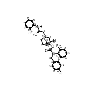 O=C(C[N+]12CCC(CC1)[C@@H](OC(=O)N(Cc1ccc(F)cc1)c1ccccc1F)C2)Nc1ccccc1F